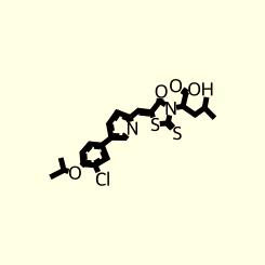 CC(C)CC(C(=O)O)N1C(=O)C(=Cc2ccc(-c3ccc(OC(C)C)c(Cl)c3)cn2)SC1=S